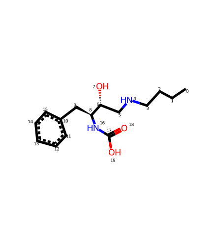 CCCCNC[C@@H](O)[C@H](Cc1ccccc1)NC(=O)O